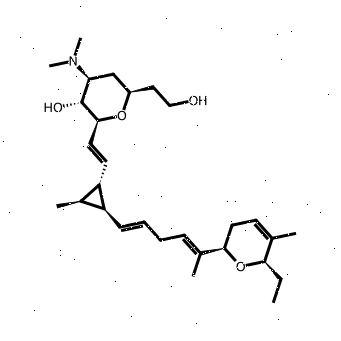 CC[C@H]1O[C@@H](/C(C)=C/C/C=C/[C@H]2[C@@H](C)[C@@H]2/C=C/[C@@H]2O[C@H](CCO)C[C@H](N(C)C)[C@H]2O)CC=C1C